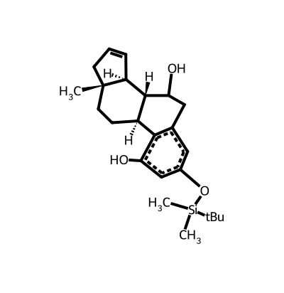 CC(C)(C)[Si](C)(C)Oc1cc(O)c2c(c1)CC(O)[C@@H]1[C@@H]2CC[C@]2(C)CC=C[C@@H]12